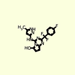 Cc1cc(Nc2nc(C(F)(F)c3ccc(F)cc3)nc3ccc(O)n23)n[nH]1